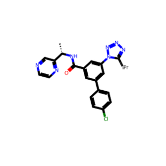 CC(C)c1nnnn1-c1cc(C(=O)N[C@@H](C)c2cnccn2)cc(-c2ccc(Cl)cc2)c1